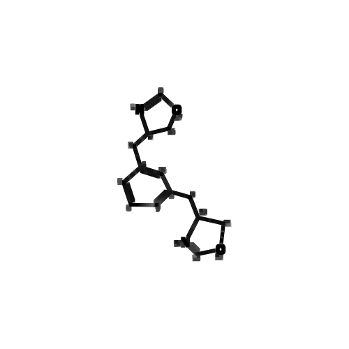 C1=NC(Cc2cccc(CC3COC=N3)c2)CO1